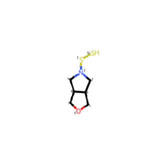 SSN1CC2COCC2C1